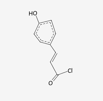 O=C(Cl)C=Cc1ccc(O)cc1